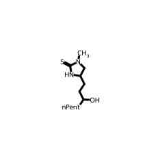 CCCCCC(O)CCC1CN(C)C(=S)N1